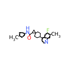 Cc1ccc(NC(=O)C2CC23CCC(c2ccnc4cc(C)c(F)cc24)CC3)cc1